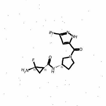 CC(C)c1cc(C(=O)N2CC[C@H](NC(=O)[C@@H]3C[C@]3(N)F)C2)[nH]n1